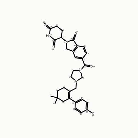 CC1(C)CCC(CN2CCN(C(=O)c3ccc4c(c3)CN(C3CCC(=O)NC3=O)C4=O)C2)=C(c2ccc(Cl)cc2)C1